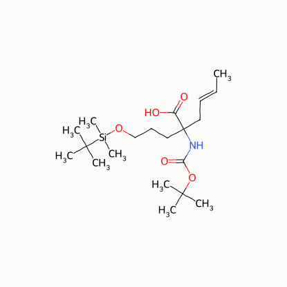 CC=CCC(CCCO[Si](C)(C)C(C)(C)C)(NC(=O)OC(C)(C)C)C(=O)O